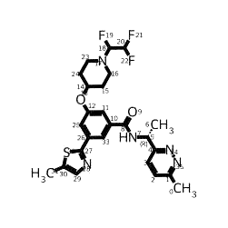 Cc1ccc([C@@H](C)NC(=O)c2cc(OC3CCN(C(F)C(F)F)CC3)cc(-c3ncc(C)s3)c2)nn1